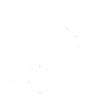 CC1(O)CC(c2nc3cc(OCCN4CCC5(CC4)C(=O)Nc4ccc(Cl)cc45)cc(C(F)(F)F)c3[nH]2)C1